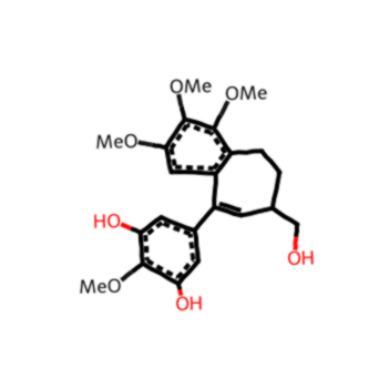 COc1cc2c(c(OC)c1OC)CCC(CO)C=C2c1cc(O)c(OC)c(O)c1